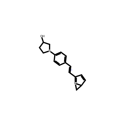 OC1CCN(c2ccc(/C=C/C3=[N+]4CC4C=C3)cc2)C1